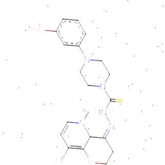 CN1C=CC(Cl)=C2OCC/C(=N/NC(=S)N3CCN(c4cccc(O)c4)CC3)C21